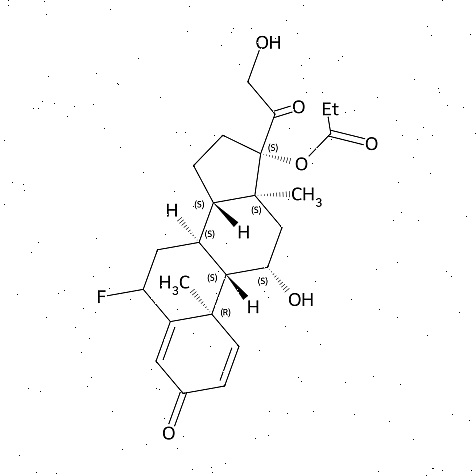 CCC(=O)O[C@@]1(C(=O)CO)CC[C@H]2[C@@H]3CC(F)C4=CC(=O)C=C[C@]4(C)[C@H]3[C@@H](O)C[C@@]21C